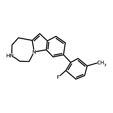 Cc1ccc(F)c(-c2ccc3cc4n(c3c2)CCNCC4)c1